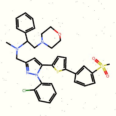 CN(Cc1cc(-c2ccc(-c3cccc(S(C)(=O)=O)c3)s2)n(-c2ccccc2Cl)n1)C(CN1CCOCC1)c1ccccc1